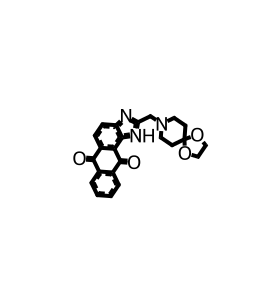 O=C1c2ccccc2C(=O)c2c1ccc1nc(CN3CCC4(CC3)OCCO4)[nH]c21